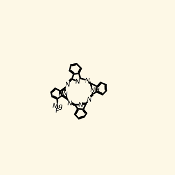 [F][Mg][c]1cccc2c3nc4nc(nc5[nH]c(nc6nc(nc([nH]3)c12)-c1ccccc1-6)c1ccccc51)-c1ccccc1-4